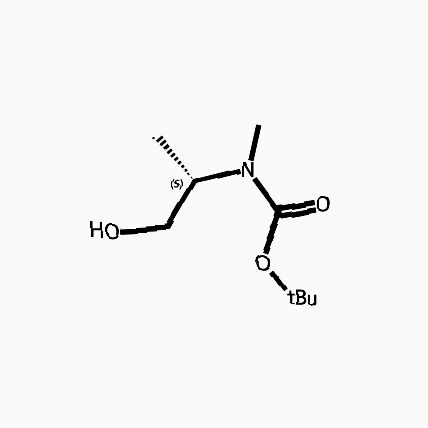 [CH2][C@@H](CO)N(C)C(=O)OC(C)(C)C